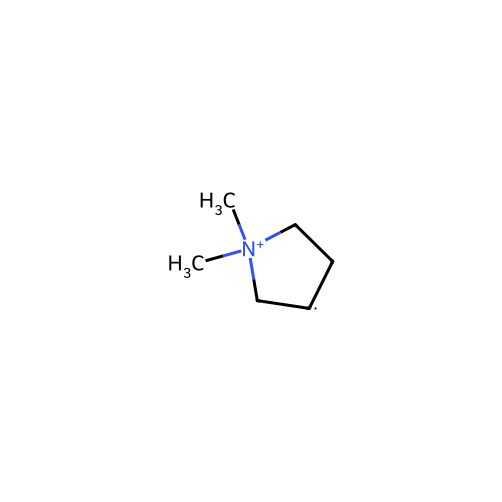 C[N+]1(C)C[CH]CC1